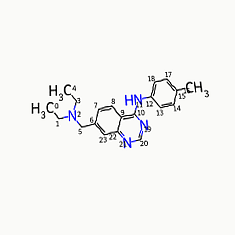 CCN(CC)Cc1ccc2c(Nc3ccc(C)cc3)ncnc2c1